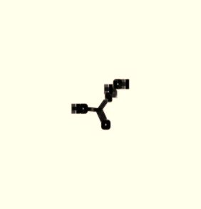 O=C(O)[SH2]O